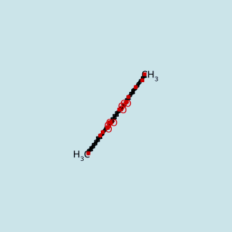 CCCCCCCCCCCCCCCCCC(=O)OCOC(=O)CCCCCCCC(=O)OCOC(=O)CCCCCCCCCCCCCCCCC